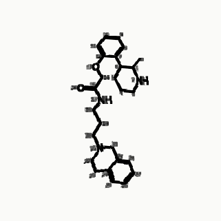 CC1NCCCC1c1ccccc1OCC(=O)NCCCN1CCc2ccccc2C1